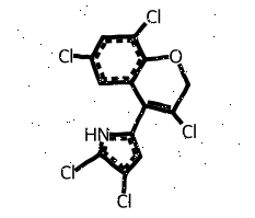 ClC1=C(c2cc(Cl)c(Cl)[nH]2)c2cc(Cl)cc(Cl)c2OC1